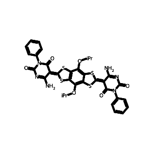 CC(C)Oc1c2c(c(OC(C)C)c3c1SC(=C1C(=O)N(c4ccccc4)C(=O)N=C1N)S3)SC(=C1C(=O)N(c3ccccc3)C(=O)N=C1N)S2